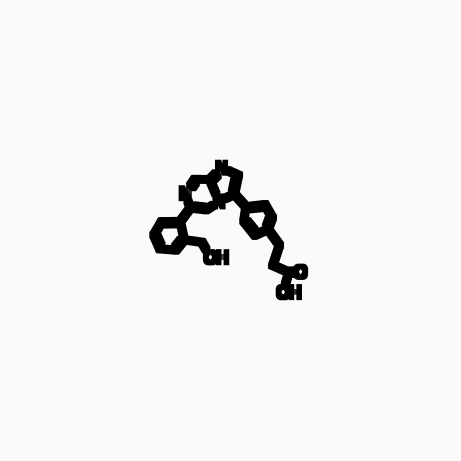 O=C(O)CCc1ccc(-c2cnc3cnc(-c4ccccc4CO)cn23)cc1